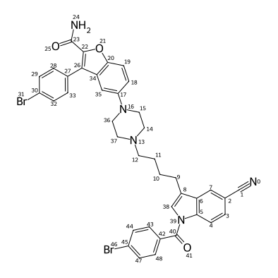 N#Cc1ccc2c(c1)c(CCCCN1CCN(c3ccc4oc(C(N)=O)c(-c5ccc(Br)cc5)c4c3)CC1)cn2C(=O)c1ccc(Br)cc1